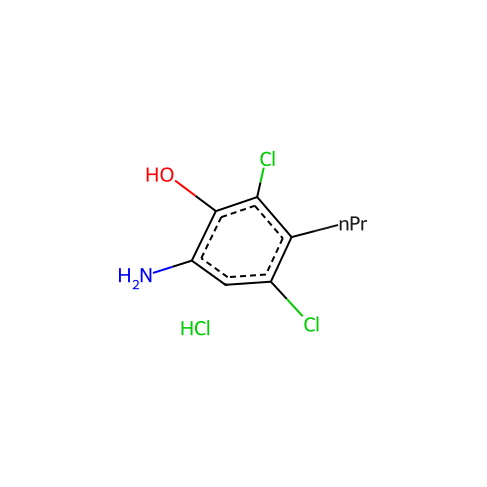 CCCc1c(Cl)cc(N)c(O)c1Cl.Cl